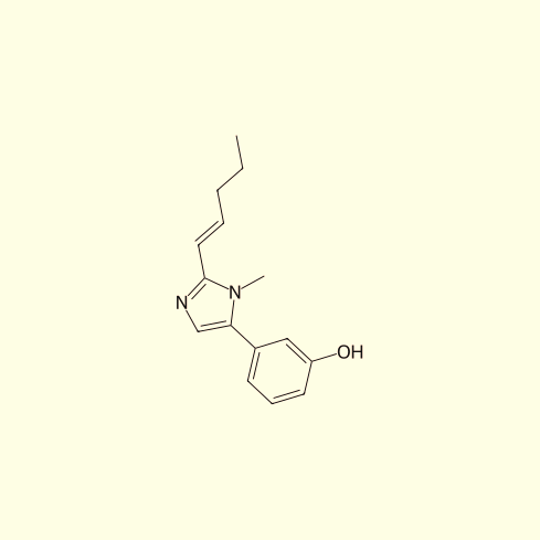 CCCC=Cc1ncc(-c2cccc(O)c2)n1C